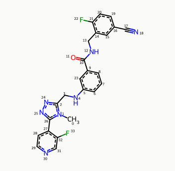 Cn1c(CNc2cccc(C(=O)NCc3cc(C#N)ccc3F)c2)nnc1-c1ccncc1F